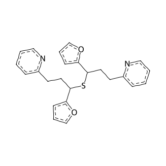 c1ccc(CCC(SC(CCc2ccccn2)c2ccco2)c2ccco2)nc1